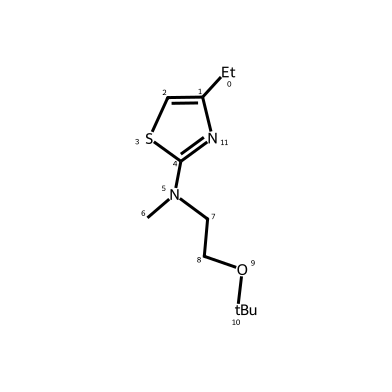 CCc1csc(N(C)CCOC(C)(C)C)n1